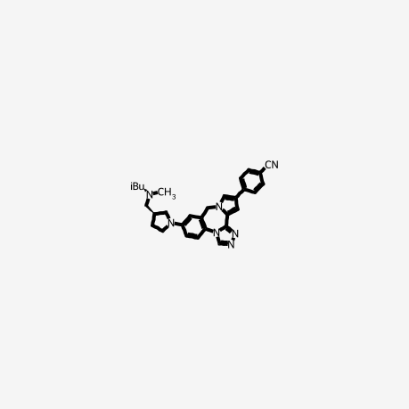 CC[C@H](C)N(C)C[C@@H]1CCN(c2ccc3c(c2)Cn2cc(-c4ccc(C#N)cc4)cc2-c2nncn2-3)C1